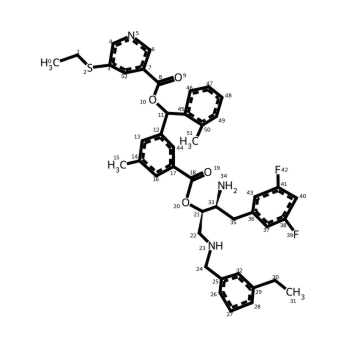 CCSc1cncc(C(=O)OC(c2cc(C)cc(C(=O)O[C@H](CNCc3cccc(CC)c3)[C@@H](N)Cc3cc(F)cc(F)c3)c2)c2ccccc2C)c1